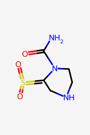 NC(=O)N1CCNCC1=S(=O)=O